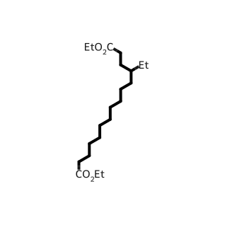 CCOC(=O)CCCCCCCCCCC(CC)CCC(=O)OCC